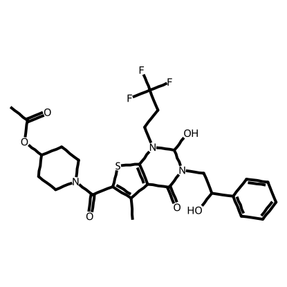 CC(=O)OC1CCN(C(=O)c2sc3c(c2C)C(=O)N(CC(O)c2ccccc2)C(O)N3CCC(F)(F)F)CC1